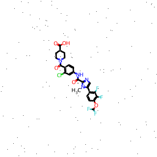 Cn1c(-c2ccc(OC(F)F)c(F)c2F)cnc1C(=O)Nc1ccc(C(=O)N2CCC(C(=O)O)CC2)c(Cl)c1